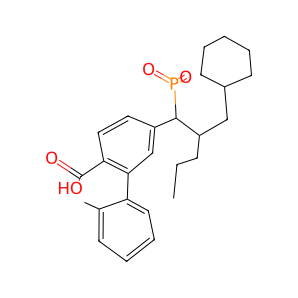 CCCC(CC1CCCCC1)C(c1ccc(C(=O)O)c(-c2ccccc2C)c1)P(=O)=O